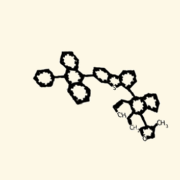 C=Cc1c(/C=C\C)c(-c2cccc3c2sc2cc(-c4c5ccccc5c(-c5ccccc5)c5ccccc45)ccc23)c2ccccc2c1-c1cocc1C